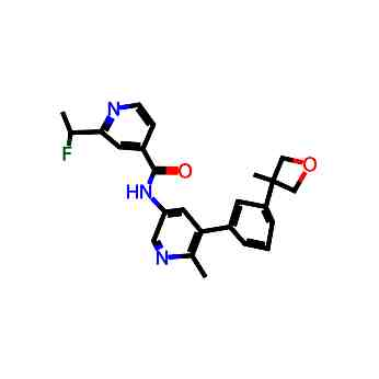 Cc1ncc(NC(=O)c2ccnc(C(C)F)c2)cc1-c1cccc(C2(C)COC2)c1